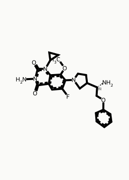 COc1c(N2CCC([C@H](N)COc3ccccc3)C2)c(F)cc2c(=O)n(N)c(=O)n(C3CC3)c12